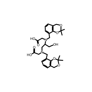 CC1(C)OCc2cccc(CN(CC(=O)O)CC(CO)N(CC(=O)O)Cc3cccc4c3OC(C)(C)OC4)c2O1